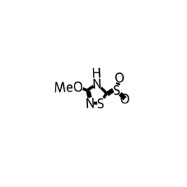 COc1nsc(=S(=O)=O)[nH]1